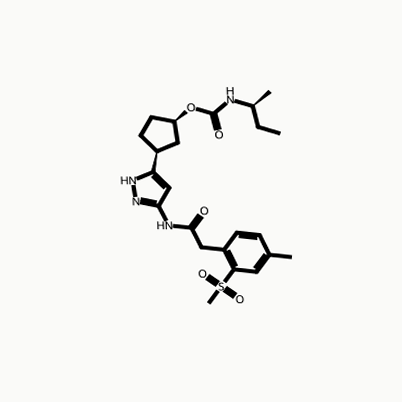 CC[C@H](C)NC(=O)O[C@@H]1CC[C@H](c2cc(NC(=O)Cc3ccc(C)cc3S(C)(=O)=O)n[nH]2)C1